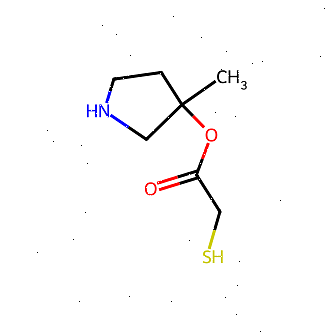 CC1(OC(=O)CS)CCNC1